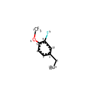 CCC(C)Cc1ccc(OC(F)(F)F)c(F)c1